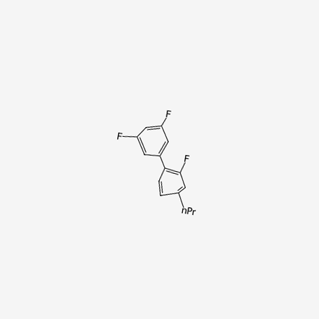 CCCc1ccc(-c2cc(F)cc(F)c2)c(F)c1